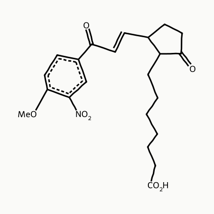 COc1ccc(C(=O)C=CC2CCC(=O)C2CCCCCCC(=O)O)cc1[N+](=O)[O-]